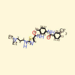 CCN(CC)CCCNc1ncc(C(=O)Nc2cc(NC(=O)c3cccc(C(F)(F)F)c3)ccc2C)s1